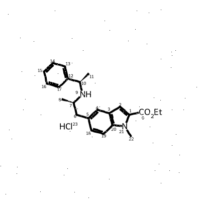 CCOC(=O)c1cc2cc(C[C@@H](C)N[C@H](C)c3ccccc3)ccc2n1C.Cl